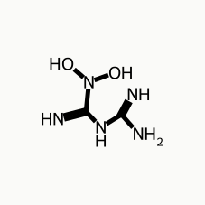 N=C(N)NC(=N)N(O)O